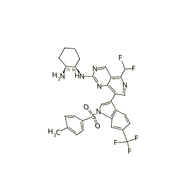 Cc1ccc(S(=O)(=O)n2cc(-c3cnc(C(F)F)c4cnc(N[C@@H]5CCCC[C@@H]5N)nc34)c3ccc(C(F)(F)F)cc32)cc1